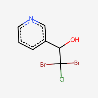 OC(c1cccnc1)C(Cl)(Br)Br